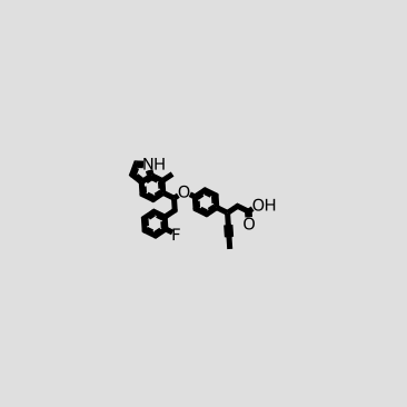 CC#CC(CC(=O)O)c1ccc(OC(Cc2ccccc2F)c2ccc3cc[nH]c3c2C)cc1